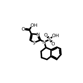 O=C(O)c1csc(N(C2CCCc3ccccc32)S(=O)(=O)O)n1